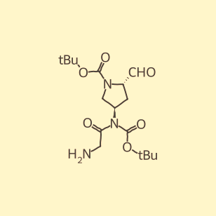 CC(C)(C)OC(=O)N1C[C@H](N(C(=O)CN)C(=O)OC(C)(C)C)C[C@H]1C=O